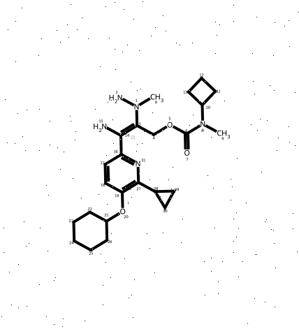 CN(N)/C(COC(=O)N(C)C1CCC1)=C(\N)c1ccc(OC2CCCCC2)c(C2CC2)n1